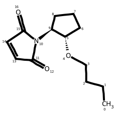 CCCCO[C@H]1CCC[C@@H]1N1C(=O)C=CC1=O